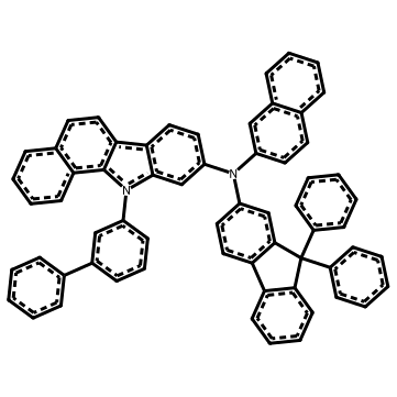 c1ccc(-c2cccc(-n3c4cc(N(c5ccc6c(c5)C(c5ccccc5)(c5ccccc5)c5ccccc5-6)c5ccc6ccccc6c5)ccc4c4ccc5ccccc5c43)c2)cc1